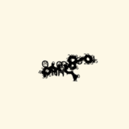 Cc1c(C(=O)NC(CCC2CC2)C(=O)N2CCc3c(OCC4CCN(C)CC4)cccc32)[nH]c2c1C(=O)CC(C)(C)C2